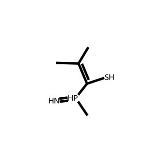 CC(C)=C(S)[PH](C)=N